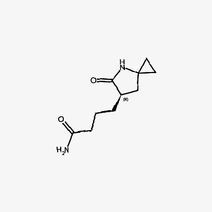 NC(=O)CCC[C@@H]1CC2(CC2)NC1=O